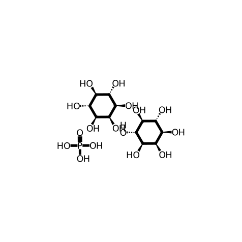 O=P(O)(O)O.O[C@H]1[C@H](O)[C@@H](O)[C@H](O)[C@@H](O)[C@H]1O.O[C@H]1[C@H](O)[C@@H](O)[C@H](O)[C@@H](O)[C@H]1O